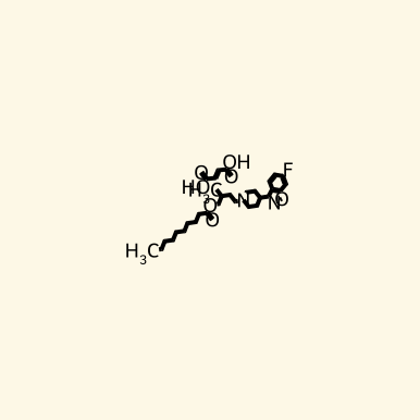 CCCCCCCCCC(=O)OCC(C)CCN1CCC(c2noc3cc(F)ccc23)CC1.O=C(O)C=CC(=O)O